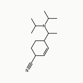 CC(C)N(C(C)C)C(C)C1C=CC(C#N)CC1